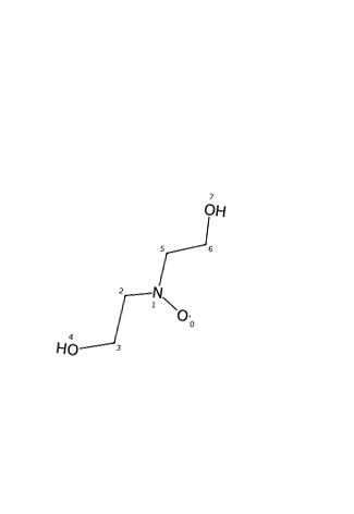 [O]N(CCO)CCO